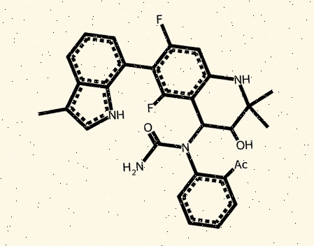 CC(=O)c1ccccc1N(C(N)=O)C1c2c(cc(F)c(-c3cccc4c(C)c[nH]c34)c2F)NC(C)(C)C1O